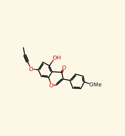 CC#COc1cc(O)c2c(=O)c(-c3ccc(OC)cc3)coc2c1